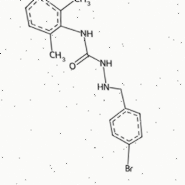 Cc1cccc(C)c1NC(=O)NNCc1ccc(Br)cc1